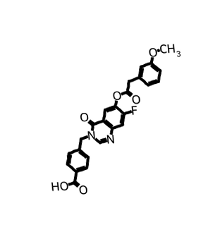 COc1cccc(CC(=O)Oc2cc3c(=O)n(Cc4ccc(C(=O)O)cc4)cnc3cc2F)c1